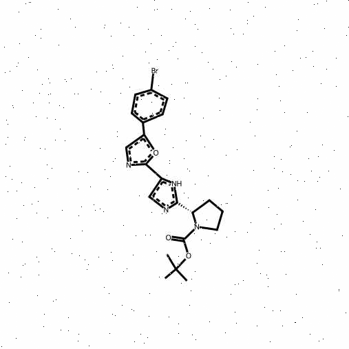 CC(C)(C)OC(=O)N1CCC[C@H]1c1ncc(-c2ncc(-c3ccc(Br)cc3)o2)[nH]1